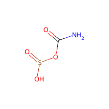 NC(=O)OS(=O)O